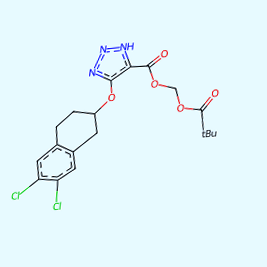 CC(C)(C)C(=O)OCOC(=O)c1[nH]nnc1OC1CCc2cc(Cl)c(Cl)cc2C1